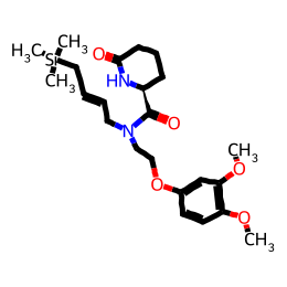 COc1ccc(OCCN(C/C=C/C[Si](C)(C)C)C(=O)[C@@H]2CCCC(=O)N2)cc1OC